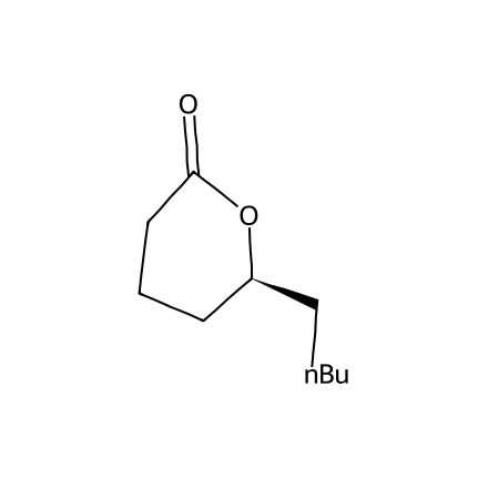 CCCCC[C@H]1CCCC(=O)O1